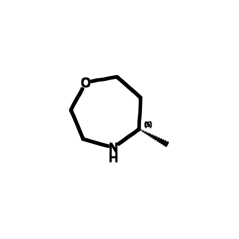 C[C@H]1CCOCCN1